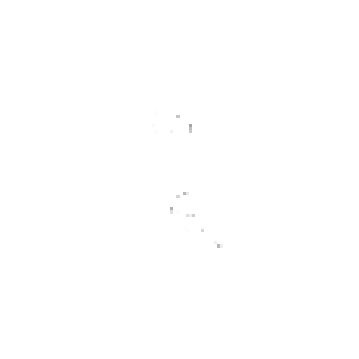 C#Cc1ccc(NC(=O)C(C)C2CCC(c3ccnc4ccc(F)cc34)CC2)cc1